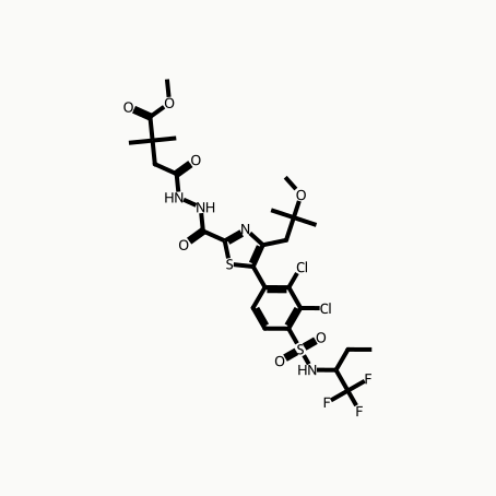 CCC(NS(=O)(=O)c1ccc(-c2sc(C(=O)NNC(=O)CC(C)(C)C(=O)OC)nc2CC(C)(C)OC)c(Cl)c1Cl)C(F)(F)F